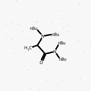 CCCCN(CCCC)C(=O)C(C)N(CCCC)CCCC